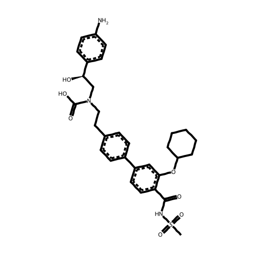 CS(=O)(=O)NC(=O)c1ccc(-c2ccc(CCN(C[C@@H](O)c3ccc(N)cc3)C(=O)O)cc2)cc1OC1CCCCC1